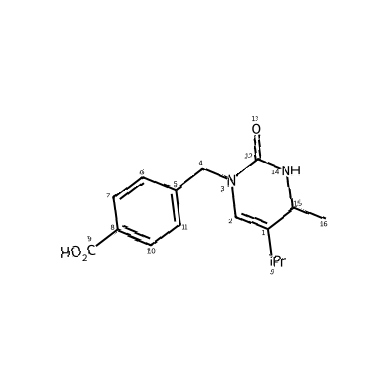 CC(C)C1=CN(Cc2ccc(C(=O)O)cc2)C(=O)NC1C